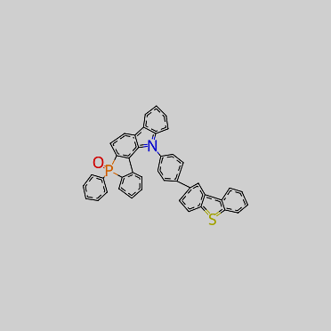 O=P1(c2ccccc2)c2ccccc2-c2c1ccc1c3ccccc3n(-c3ccc(-c4ccc5sc6ccccc6c5c4)cc3)c21